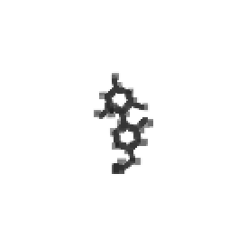 Cc1cc(C)c(-c2ccc(CC(C)C)cc2C)[n+](C)c1